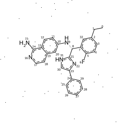 CCc1ccc(F)c([C@@H](Nc2ccc3c(N)nccc3c2)c2nc(-c3ccccc3)c[nH]2)c1